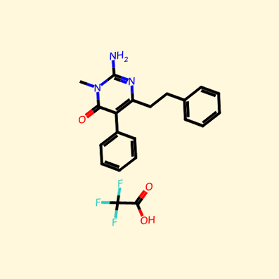 Cn1c(N)nc(CCc2ccccc2)c(-c2ccccc2)c1=O.O=C(O)C(F)(F)F